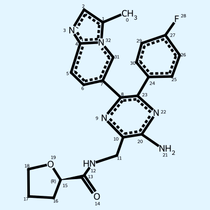 Cc1cnc2ccc(-c3nc(CNC(=O)[C@H]4CCCO4)c(N)nc3-c3ccc(F)cc3)cn12